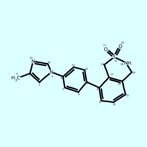 Cc1cn(-c2ccc(-c3cccc4c3CS(=O)(=O)NC4)cc2)cn1